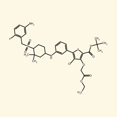 CCOC(=O)COc1c(C(=O)OC(C)(C)C)sc(-c2cccc(NC3CCC(S(=O)(=O)Cc4cc(N)ccc4F)C(C)(C)C3)c2)c1Cl